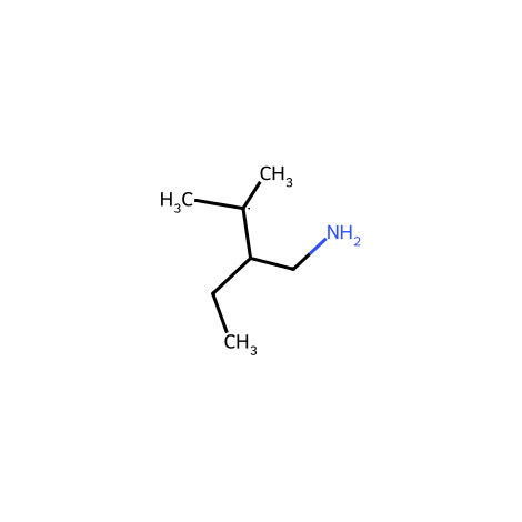 CCC(CN)[C](C)C